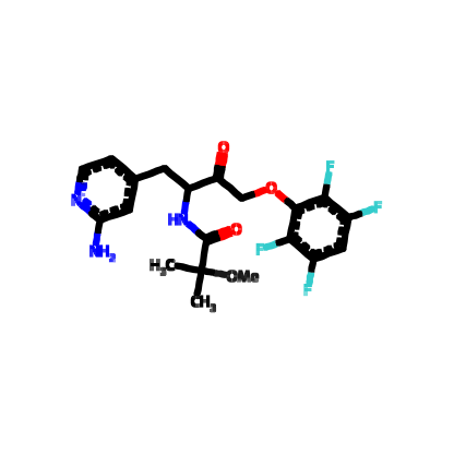 COC(C)(C)C(=O)NC(Cc1ccnc(N)c1)C(=O)COc1c(F)c(F)cc(F)c1F